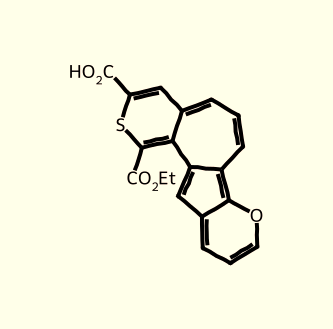 CCOC(=O)C1=c2c(cccc3c2cc2cccoc23)C=C(C(=O)O)S1